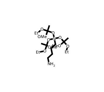 CCOC(C)(OC)O[Si](CCCCN)(OC(C)(OC)OCC)OC(C)(OC)OCC